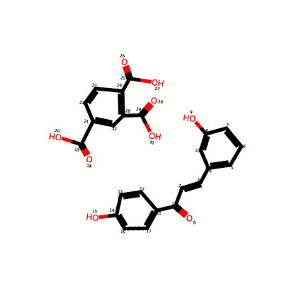 O=C(C=Cc1cccc(O)c1)c1ccc(O)cc1.O=C(O)c1ccc(C(=O)O)c(C(=O)O)c1